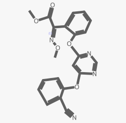 CO/N=C(/C(=O)OC)c1ccccc1Oc1cc(Oc2ccccc2C#N)ncn1